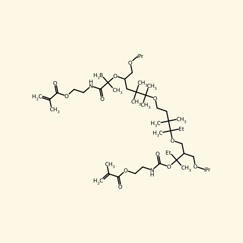 BC(C)(OC(COC(C)C)CC(C)(C)C(C)(C)OCCC(C)(C)C(C)(CC)OCC(COC(C)C)C(C)(CC)OC(=O)NCCOC(=O)C(=C)C)C(=O)NCCOC(=O)C(=C)C